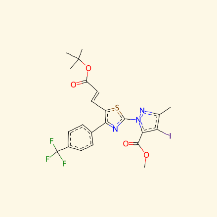 COC(=O)c1c(I)c(C)nn1-c1nc(-c2ccc(C(F)(F)F)cc2)c(C=CC(=O)OC(C)(C)C)s1